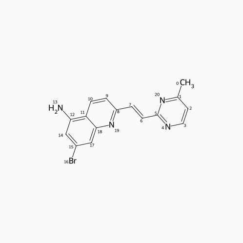 Cc1ccnc(C=Cc2ccc3c(N)cc(Br)cc3n2)n1